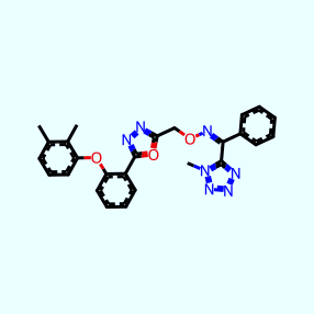 Cc1cccc(Oc2ccccc2-c2nnc(CO/N=C(/c3ccccc3)c3nnnn3C)o2)c1C